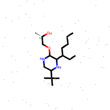 CCCCC(CC)C1NC(C(C)(C)C)CNC1OC[C@H](C)O